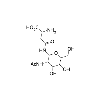 CC(=O)NC1C(NC(=O)CC(N)C(=O)O)OC(CO)C(O)[C@@H]1O